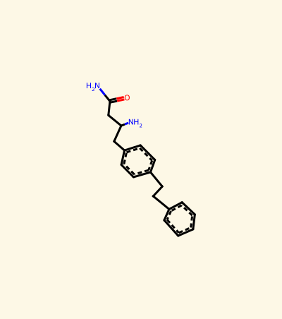 NC(=O)CC(N)Cc1ccc(CCc2ccccc2)cc1